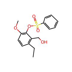 CCc1ccc(OC)c(OS(=O)(=O)c2ccccc2)c1CO